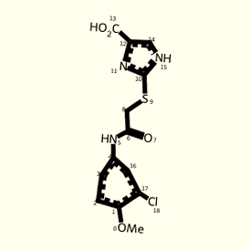 COc1ccc(NC(=O)CSc2nc(C(=O)O)c[nH]2)cc1Cl